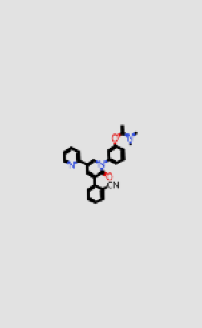 CC(Oc1cccc(-n2cc(-c3ccccn3)cc(-c3ccccc3C#N)c2=O)c1)N(C)C